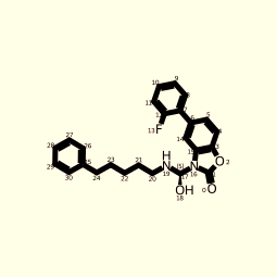 O=c1oc2ccc(-c3ccccc3F)cc2n1[C@@H](O)NCCCCCc1ccccc1